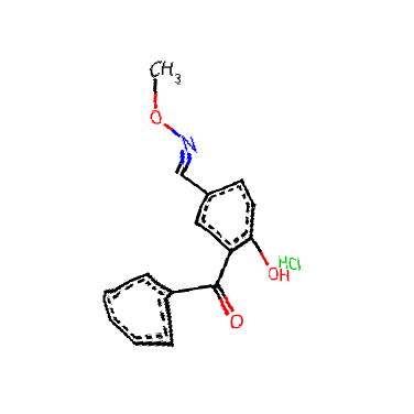 CO/N=C/c1ccc(O)c(C(=O)c2ccccc2)c1.Cl